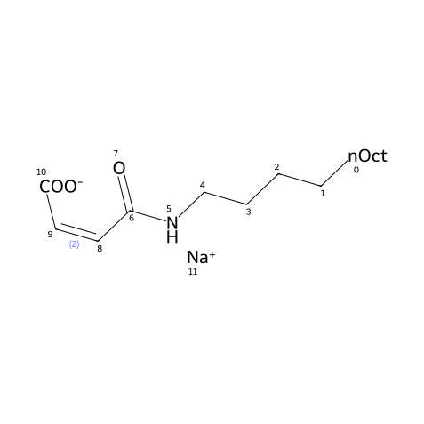 CCCCCCCCCCCCNC(=O)/C=C\C(=O)[O-].[Na+]